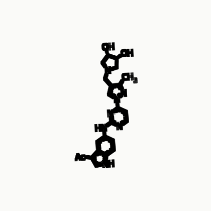 CC(=O)c1c[nH]c2ccc(Nc3nccc(-n4cc(CN5C[C@@H](O)[C@@H](O)C5)c(C)n4)n3)cc12